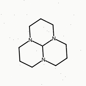 C1CN2CCCN3CCCN(C1)C23